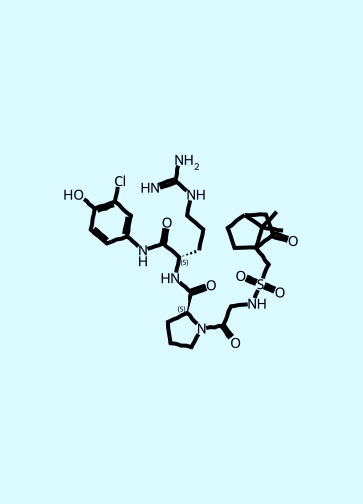 CC1(C)C2CCC1(CS(=O)(=O)NCC(=O)N1CCC[C@H]1C(=O)N[C@@H](CCCNC(=N)N)C(=O)Nc1ccc(O)c(Cl)c1)C(=O)C2